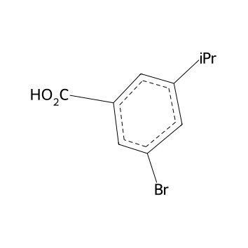 CC(C)c1cc(Br)cc(C(=O)O)c1